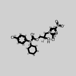 C[C@](O)(COC(=O)N(c1ccc(Cl)cc1)C1CCCCC1)Cn1cc([N+](=O)[O-])nc1Cl